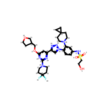 O=S(=O)(CCO)Nc1ccc(-n2cc(-c3cc(OCC4CCOC4)nc(N4CCC(F)(F)CC4)n3)nn2)c(N2CCC3(CC2)CC3)c1